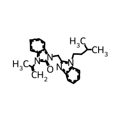 C=C(C)n1c(=O)n(Cc2nc3ccccc3n2CCC(C)C)c2ccccc21